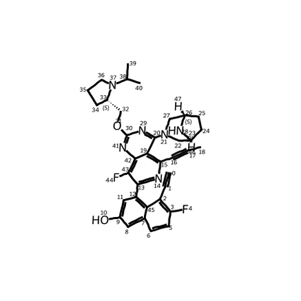 C#Cc1c(F)ccc2cc(O)cc(-c3nc(C#CC)c4c(N5C[C@H]6CC[C@@H](C5)N6)nc(OC[C@@H]5CCCN5C(C)C)nc4c3F)c12